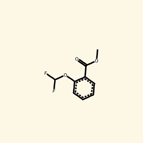 COC(=O)c1[c]cccc1OC(F)F